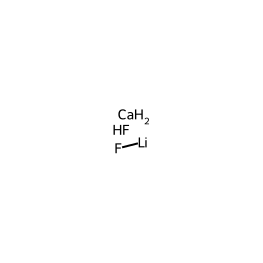 F.[CaH2].[Li][F]